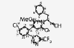 C#CC(Cc1ccccc1)n1cc(OC)c(-c2cc(Cl)ccc2-n2cc(C(F)(F)F)nn2)cc1=O